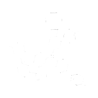 CC1(C)c2cc(N(c3ccc(C4CC5CCC4C5)cc3)c3ccc(C4(c5ccccc5)CCCCCCC4)cc3)ccc2-c2c(-c3ccccc3)cccc21